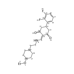 CCON1CCN(CCNC=C2C(=O)CC(c3cccc(F)c3F)CC2=O)CC1